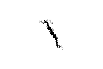 C=CCCCCCCOc1ccc(-c2ccc(OC(=O)c3ccc(OCCC[C@@H](C)CC)cc3)cc2)cc1